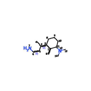 C=C1/C(=C(C)\C=C/N)CCCC1N(C)C